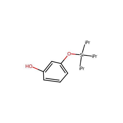 CC(C)[Si](Oc1cccc(O)c1)(C(C)C)C(C)C